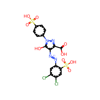 O=C(O)c1nn(-c2ccc(S(=O)(=O)O)cc2)c(O)c1/N=N/c1cc(Cl)c(Cl)cc1S(=O)(=O)O